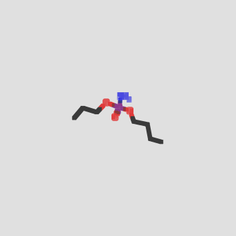 CCCCOP(N)(=O)OCCC